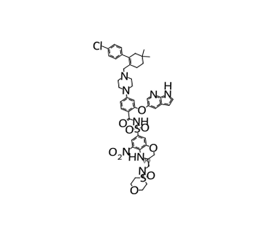 CC1(C)CCC(CN2CCN(c3ccc(C(=O)NS(=O)(=O)c4cc5c(c([N+](=O)[O-])c4)N[C@H](CN=S4(=O)CCOCC4)CO5)c(Oc4cnc5[nH]ccc5c4)c3)CC2)=C(c2ccc(Cl)cc2)C1